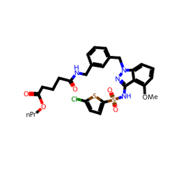 CCCOC(=O)CCCC(=O)NCc1cccc(Cn2nc(NS(=O)(=O)c3ccc(Cl)s3)c3c(OC)cccc32)c1